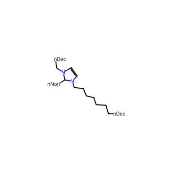 CCCCCCCCCCCCCCCCCN1C=CN(CCCCCCCCCCC)C1CCCCCCCCC